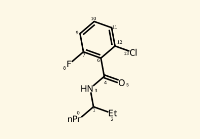 CCCC(CC)NC(=O)c1c(F)cccc1Cl